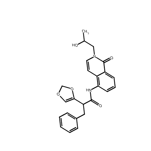 CC(O)Cn1ccc2c(NC(=O)C(Cc3ccccc3)C3=COCO3)cccc2c1=O